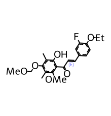 CCOc1ccc(/C=C/C(=O)c2c(O)c(C)c(OCOC)c(C)c2OC)cc1F